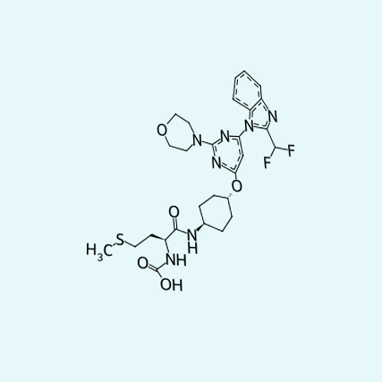 CSCC[C@H](NC(=O)O)C(=O)N[C@H]1CC[C@H](Oc2cc(-n3c(C(F)F)nc4ccccc43)nc(N3CCOCC3)n2)CC1